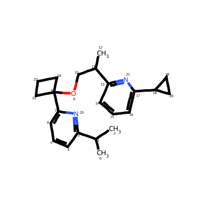 CC(C)c1cccc(C2(OCC(C)c3cccc(C4CC4)n3)CCC2)n1